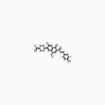 CCn1cc(C(=O)/C=C/c2ccc(Cl)cc2)c(=O)c2cc(F)c(N3CCN(C(C)=O)CC3)cc21